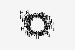 C=C/C=C/C[C@@H](C)[C@@H](O)[C@H]1C(=O)N[C@@H](CC)C(=O)N(C)CC(=O)N(C)[C@@H](CC(C)C)C(=O)N[C@@H](C(C)C)C(=O)N(C)[C@@H](CC(C)C)C(=O)N[C@@H](C)C(=O)N[C@H](C)CN(C)[C@@H](CC(C)C)C(=O)N(C)[C@@H](CC(C)C)C(=O)N(C)[C@@H](C(C)C)C(=O)N1C